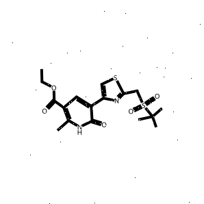 CCOC(=O)c1cc(-c2csc(CS(=O)(=O)C(C)(C)C)n2)c(=O)[nH]c1C